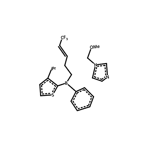 CC(C)c1ccsc1B(CCC=CC(F)(F)F)c1ccccc1.COCn1ccnc1